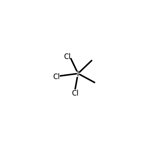 CI(C)(Cl)(Cl)Cl